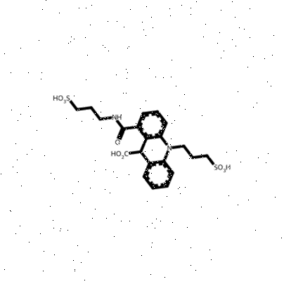 O=C(NCCCS(=O)(=O)O)c1cccc2c1C(C(=O)O)c1ccccc1N2CCCS(=O)(=O)O